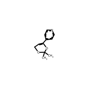 CC1(C)OCC=C(c2ccncc2)O1